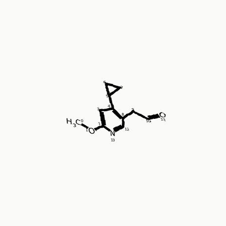 COc1cc(C2CC2)c(CC=O)cn1